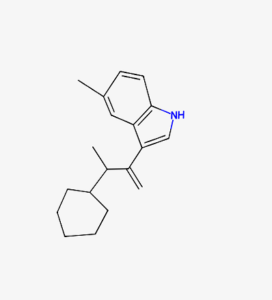 C=C(c1c[nH]c2ccc(C)cc12)C(C)C1CCCCC1